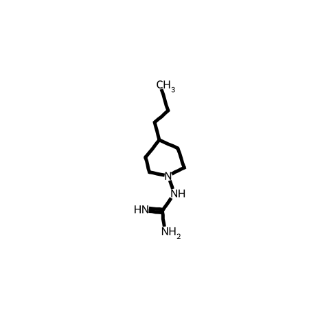 CCCC1CCN(NC(=N)N)CC1